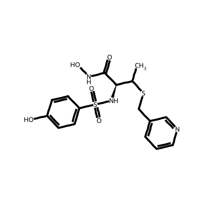 CC(SCc1cccnc1)[C@@H](NS(=O)(=O)c1ccc(O)cc1)C(=O)NO